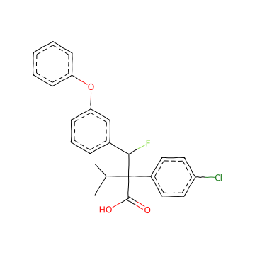 CC(C)C(C(=O)O)(c1ccc(Cl)cc1)C(F)c1cccc(Oc2ccccc2)c1